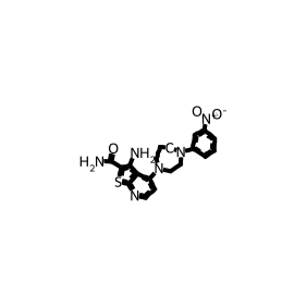 NC(=O)c1sc2nccc(N3CCCN(c4cccc([N+](=O)[O-])c4)CC3)c2c1N